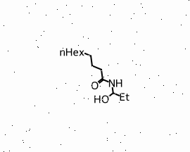 CCCCCCCCCC(=O)NC(O)CC